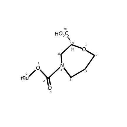 CC(C)(C)OC(=O)N1CCCO[C@@H](C(=O)O)C1